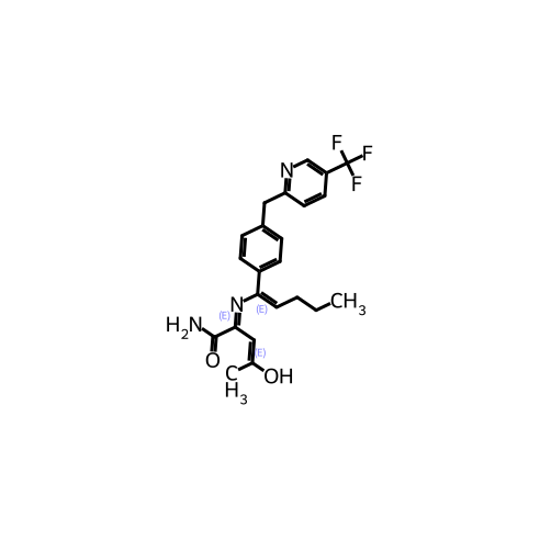 CCC/C=C(/N=C(\C=C(/C)O)C(N)=O)c1ccc(Cc2ccc(C(F)(F)F)cn2)cc1